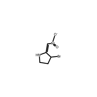 O=[N+]([O-])C=C1NCCC1Br